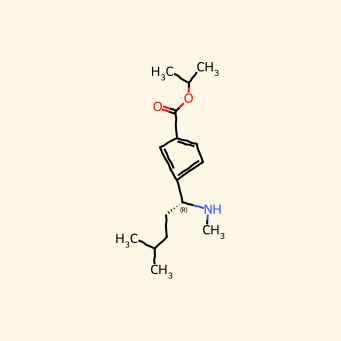 CN[C@H](CCC(C)C)c1ccc(C(=O)OC(C)C)cc1